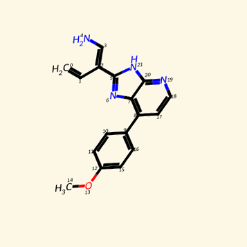 C=C/C(=C\N)c1nc2c(-c3ccc(OC)cc3)ccnc2[nH]1